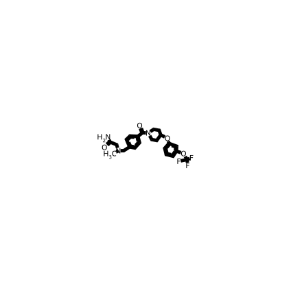 CN(CC(N)=O)Cc1ccc(C(=O)N2CCC(Oc3cccc(OC(F)(F)F)c3)CC2)cc1